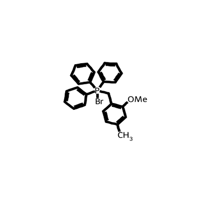 COc1cc(C)ccc1CP(Br)(c1ccccc1)(c1ccccc1)c1ccccc1